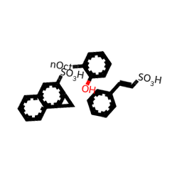 CCCCCCCCc1ccccc1O.O=S(=O)(O)C=Cc1ccccc1.O=S(=O)(O)c1cc2ccccc2c2c1C2